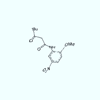 COc1ccc([N+](=O)[O-])cc1NC(=O)CC(=O)C(C)(C)C